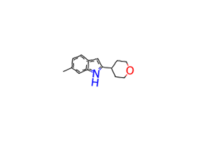 Cc1ccc2cc(C3CCOCC3)[nH]c2c1